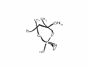 CCC1(C)OP(=O)(O)OC1(C)C